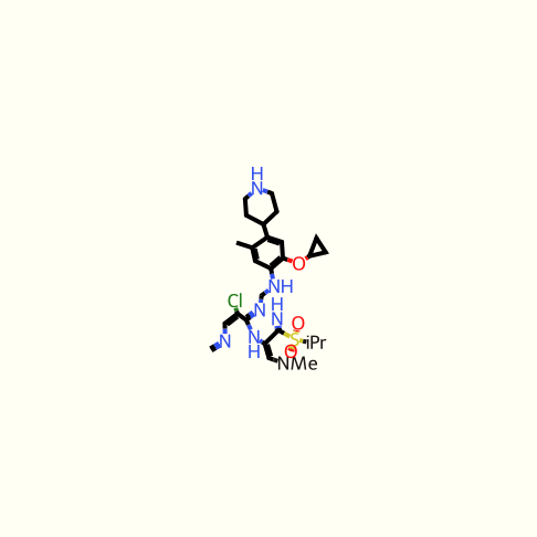 C=N/C=C(Cl)\C(=N/CNc1cc(C)c(C2CCNCC2)cc1OC1CC1)N/C(=C/NC)C(=N)S(=O)(=O)C(C)C